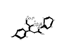 Cc1ccc(C(CC(=O)Oc2ccccc2)=C(CC(=O)O)C(=O)O)cc1